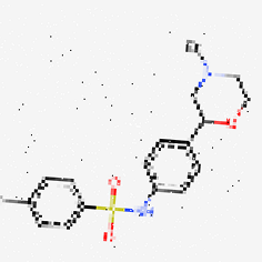 CCN1CCOC(c2ccc(NS(=O)(=O)c3ccc(C(C)C)cc3)cc2)C1